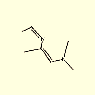 C/C=N\C(C)=C/N(C)C